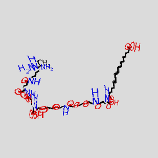 C=C(N)[C@H](CCCCNC(=O)CC[C@H](NC(=O)CC[C@H](NC(=O)COCCOCCNC(=O)COCCOCCNC(=O)CC[C@H](NC(=O)CCCCCCCCCCCCCCCCC(=O)O)C(=O)O)C(=O)O)C(=O)O)NN